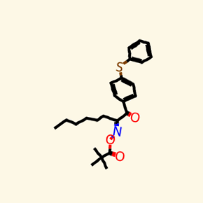 CCCCCC/C(=N\OC(=O)C(C)(C)C)C(=O)c1ccc(Sc2ccccc2)cc1